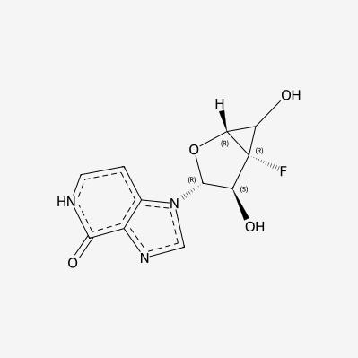 O=c1[nH]ccc2c1ncn2[C@@H]1O[C@@H]2C(O)[C@@]2(F)[C@H]1O